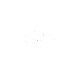 C=Cc1ccn(S(=O)(=O)c2ccc(C)cc2C)c1